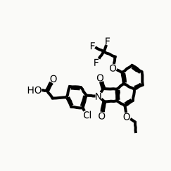 CCOc1cc2cccc(OCC(F)(F)F)c2c2c1C(=O)N(c1ccc(CC(=O)O)cc1Cl)C2=O